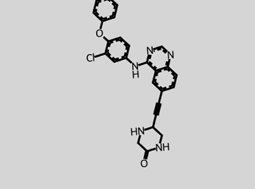 O=C1CNC(C#Cc2ccc3ncnc(Nc4ccc(Oc5ccccc5)c(Cl)c4)c3c2)CN1